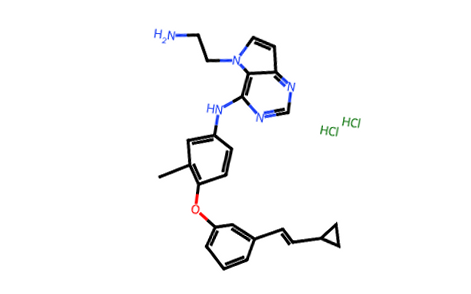 Cc1cc(Nc2ncnc3ccn(CCN)c23)ccc1Oc1cccc(C=CC2CC2)c1.Cl.Cl